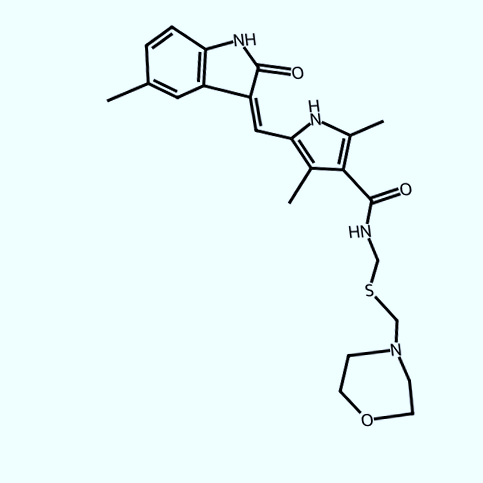 Cc1ccc2c(c1)/C(=C/c1[nH]c(C)c(C(=O)NCSCN3CCOCC3)c1C)C(=O)N2